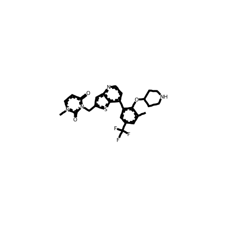 Cc1cc(C(F)(F)F)cc(-c2ccnc3cc(Cn4c(=O)ccn(C)c4=O)sc23)c1OC1CCNCC1